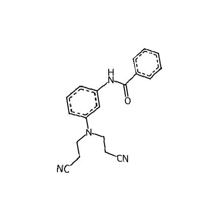 N#CCCN(CCC#N)c1cccc(NC(=O)c2ccccc2)c1